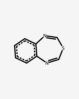 C1=Nc2ccccc2N=CS1